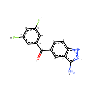 Nc1n[nH]c2ccc(C(=O)c3cc(F)cc(F)c3)cc12